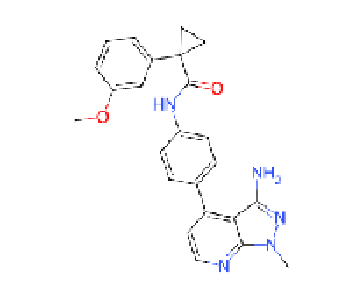 COc1cccc(C2(C(=O)Nc3ccc(-c4ccnc5c4c(N)nn5C)cc3)CC2)c1